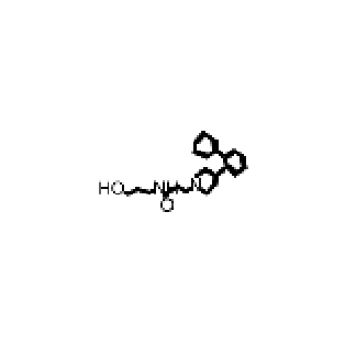 O=C(CCN1CCC(c2ccccc2-c2ccccc2)CC1)NCCCO